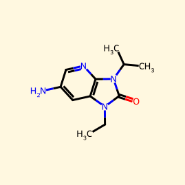 CCn1c(=O)n(C(C)C)c2ncc(N)cc21